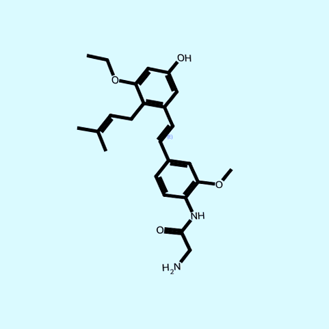 CCOc1cc(O)cc(/C=C/c2ccc(NC(=O)CN)c(OC)c2)c1CC=C(C)C